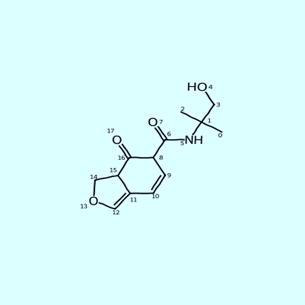 CC(C)(CO)NC(=O)C1C=CC2=COCC2C1=O